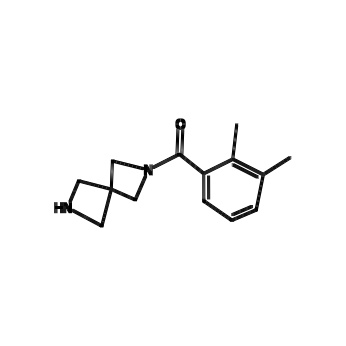 Cc1cccc(C(=O)N2CC3(CNC3)C2)c1C